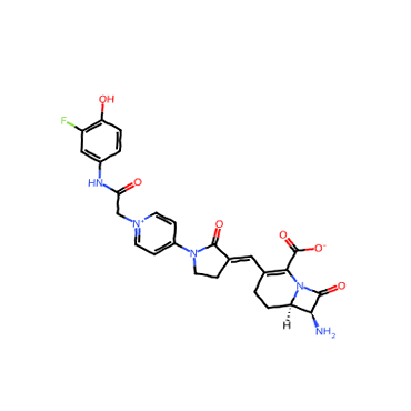 N[C@@H]1C(=O)N2C(C(=O)[O-])=C(C=C3CCN(c4cc[n+](CC(=O)Nc5ccc(O)c(F)c5)cc4)C3=O)CC[C@H]12